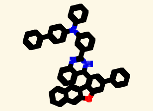 c1ccc(-c2ccc(N(c3ccccc3)c3cccc(C4=Nc5ccccc5C(c5cc(-c6ccccc6)cc6oc7cc8ccccc8cc7c56)N4)c3)cc2)cc1